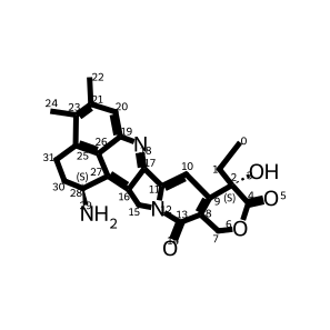 CC[C@@]1(O)C(=O)OCc2c1cc1n(c2=O)Cc2c-1nc1cc(C)c(C)c3c1c2[C@@H](N)CC3